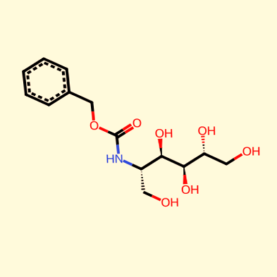 O=C(N[C@@H](CO)[C@@H](O)[C@H](O)[C@H](O)CO)OCc1ccccc1